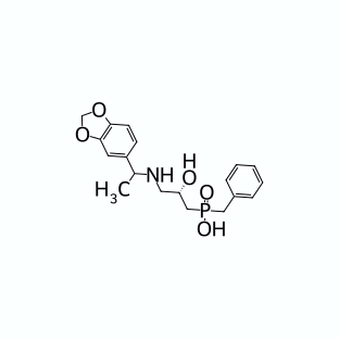 CC(NC[C@H](O)CP(=O)(O)Cc1ccccc1)c1ccc2c(c1)OCO2